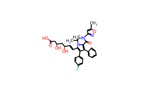 Cc1cc(NC(=O)c2c(-c3ccccc3)c(-c3ccc(F)cc3)c(C=C[C@@H](O)C[C@@H](O)CC(=O)O)n2C(C)C)no1